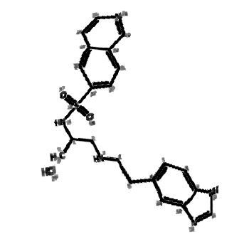 CC(CNCCc1ccc2[nH]cnc2c1)NS(=O)(=O)c1ccc2cnccc2c1.Cl